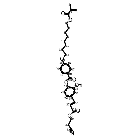 C=C(C)C(=O)OCCCCCCCCOc1ccc(C(=O)Oc2ccc(/C=C/C(=O)OCCC#N)cc2OC)cc1